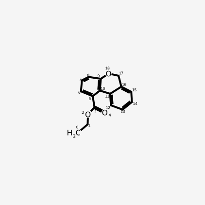 CCOC(=O)c1cccc2c1-c1ccccc1CO2